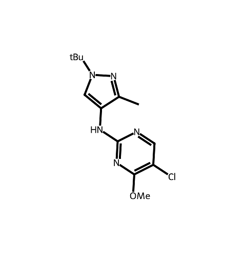 COc1nc(Nc2cn(C(C)(C)C)nc2C)ncc1Cl